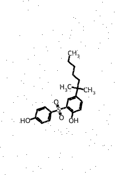 CCCCCC(C)(C)c1ccc(O)c(S(=O)(=O)c2ccc(O)cc2)c1